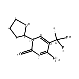 Nc1nc(=O)n(C2CCCO2)cc1C(F)(F)F